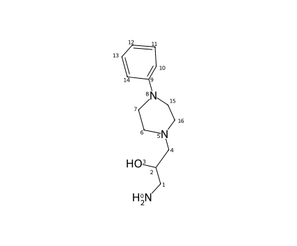 NCC(O)CN1CCN(c2ccccc2)CC1